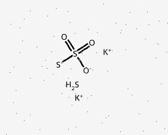 O=S(=O)([O-])[S-].S.[K+].[K+]